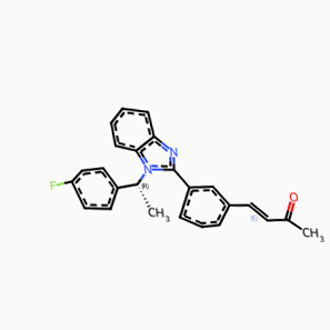 CC(=O)/C=C/c1cccc(-c2nc3ccccc3n2[C@H](C)c2ccc(F)cc2)c1